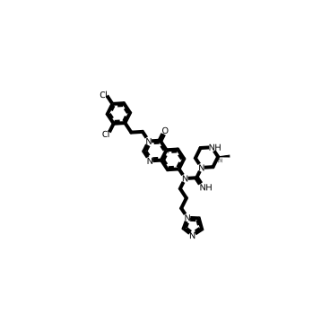 C[C@H]1CN(C(=N)N(CCCn2ccnc2)c2ccc3c(=O)n(CCc4ccc(Cl)cc4Cl)cnc3c2)CCN1